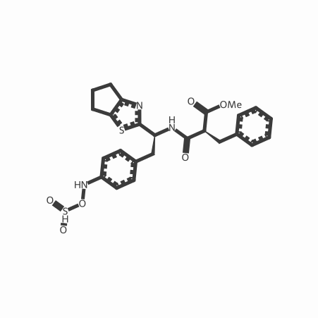 COC(=O)[C@@H](Cc1ccccc1)C(=O)N[C@@H](Cc1ccc(NO[SH](=O)=O)cc1)c1nc2c(s1)CCC2